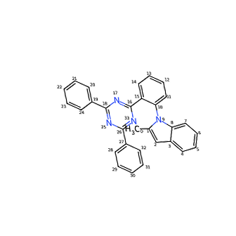 Cc1cc2ccccc2n1-c1ccccc1-c1nc(-c2ccccc2)nc(-c2ccccc2)n1